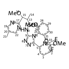 COc1cccc(-c2nnc(N[S+]([O-])C(C)C(OC)c3ncc(C)cn3)n2-c2c(OC)cccc2OC(F)F)n1